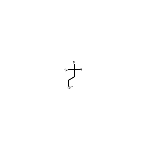 [CH2]CCCCC(F)(F)Br